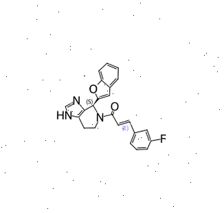 O=C(/C=C/c1cccc(F)c1)N1CCc2[nH]cnc2[C@H]1c1cc2ccccc2o1